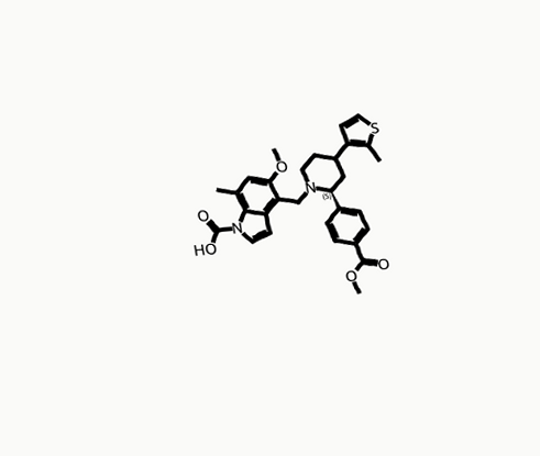 COC(=O)c1ccc([C@@H]2CC(c3ccsc3C)CCN2Cc2c(OC)cc(C)c3c2ccn3C(=O)O)cc1